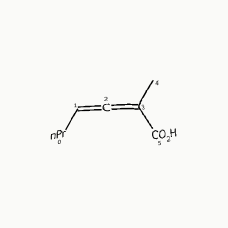 CCCC=C=C(C)C(=O)O